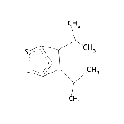 CC(C)C1c2csc(c2)C1C(C)C